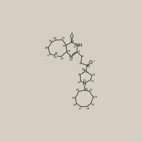 O=C1NC(CCC(=O)N2CCN(C3CCCCCCCC3)CC2)=NC2CCCCCCCC12